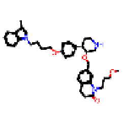 COCCCN1C(=O)CCc2ccc(CO[C@H]3CNCC[C@@H]3c3ccc(OCCCCn4cc(C)c5ccccc54)cc3)cc21